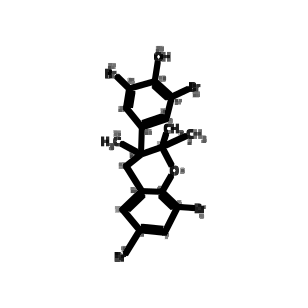 CC1(C)Oc2c(Br)cc(Br)cc2CC1(C)c1cc(Br)c(O)c(Br)c1